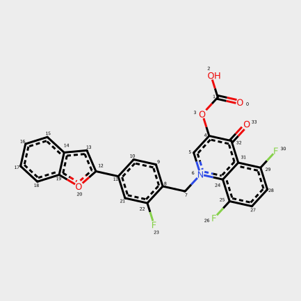 O=C(O)Oc1cn(Cc2ccc(-c3cc4ccccc4o3)cc2F)c2c(F)ccc(F)c2c1=O